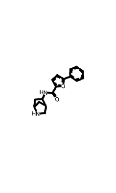 O=C(NC1CC2CC1CN2)c1ccc(-c2ccccc2)o1